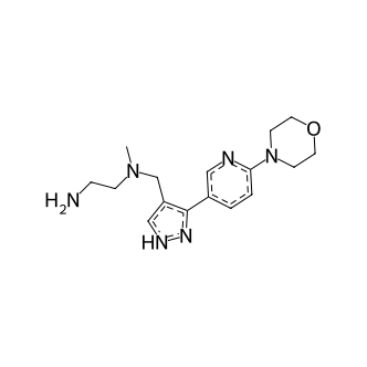 CN(CCN)Cc1c[nH]nc1-c1ccc(N2CCOCC2)nc1